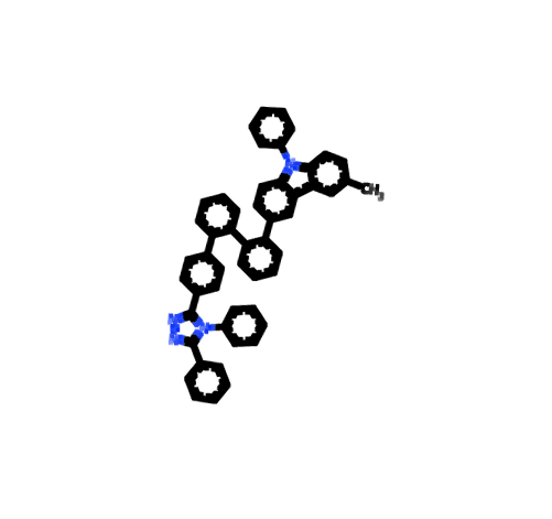 Cc1ccc2c(c1)c1cc(-c3ccccc3-c3ccccc3-c3ccc(-c4nnc(-c5ccccc5)n4-c4ccccc4)cc3)ccc1n2-c1ccccc1